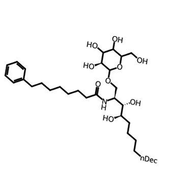 CCCCCCCCCCCCCC[C@@H](O)[C@@H](O)[C@H](COC1OC(CO)C(O)C(O)[C@@H]1O)NC(=O)CCCCCCCc1ccccc1